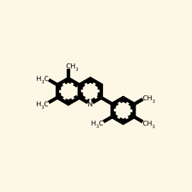 Cc1cc(C)c(-c2ccc3c(C)c(C)c(C)cc3n2)cc1C